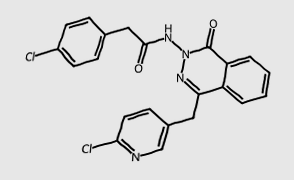 O=C(Cc1ccc(Cl)cc1)Nn1nc(Cc2ccc(Cl)nc2)c2ccccc2c1=O